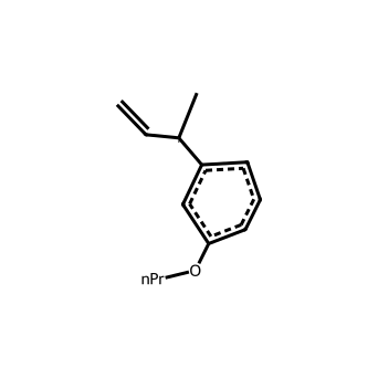 C=C[C](C)c1cccc(OCCC)c1